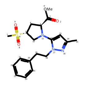 COC(=O)[C@@H]1C[C@@H](S(C)(=O)=O)CN1c1cc(C)nn1CCc1ccccc1